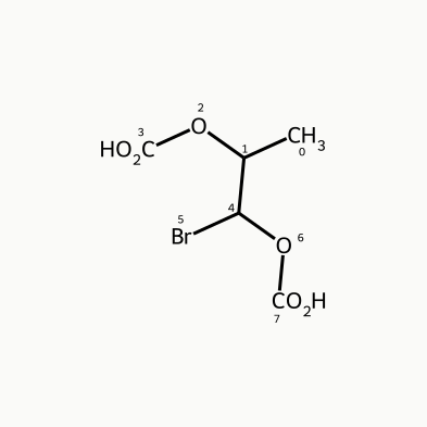 CC(OC(=O)O)C(Br)OC(=O)O